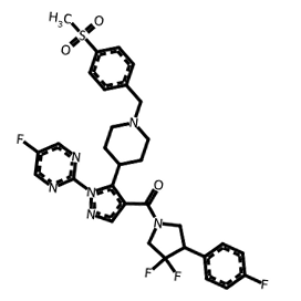 CS(=O)(=O)c1ccc(CN2CCC(c3c(C(=O)N4CC(c5ccc(F)cc5)C(F)(F)C4)cnn3-c3ncc(F)cn3)CC2)cc1